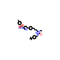 CCn1c(CCCc2ccc(-c3ccc(NS(=O)(=O)c4ccc(C)cc4)cn3)cc2)nn(Cc2ccc(C(C)(C)C)cc2)c1=O